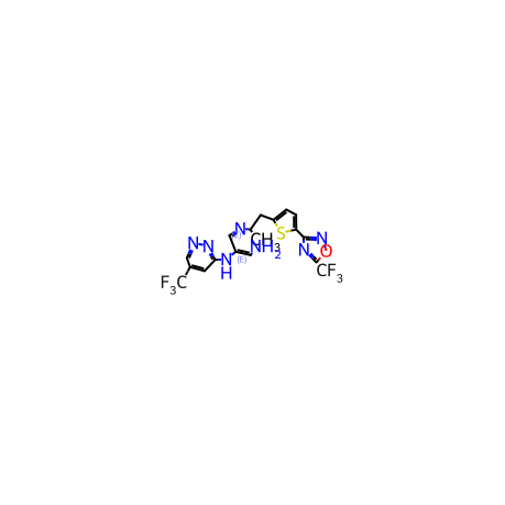 CC(Cc1ccc(-c2noc(C(F)(F)F)n2)s1)/N=C\C(=C/N)Nc1cc(C(F)(F)F)cnn1